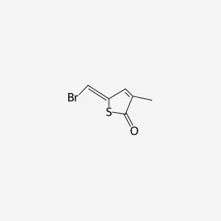 CC1=C/C(=C/Br)SC1=O